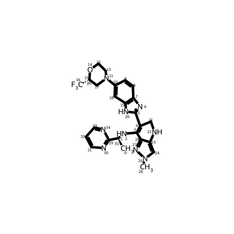 C[C@H](NC1=C(c2nc3ccc(N4CCO[C@@H](C(F)(F)F)C4)cc3[nH]2)CNc2cn(C)nc21)c1ncccn1